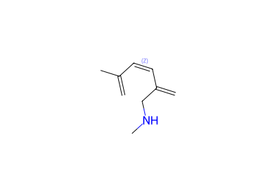 C=C(C)/C=C\C(=C)CNC